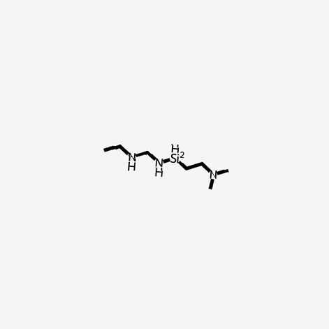 CCNCN[SiH2]CCN(C)C